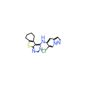 Clc1cn2nccc2cc1Nc1ncnc2sc3c(c12)CCCC3